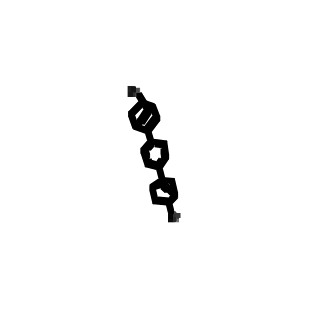 BrC1=CC2CCC1C=C2c1ccc(C2=CC3CCC2C=C3Br)cc1